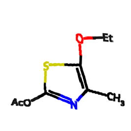 CCOc1sc(OC(C)=O)nc1C